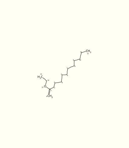 C=C(CCCCCCCCCCC)OCC